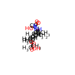 C=C(C)[C@@H]1CC[C@]2(NCC([C@@H](C)O)N3CCS(=O)(=O)CC3)CC[C@]3(C)[C@H](CC[C@@H]4[C@@]5(C)CC[C@H](OC(=O)CC(C)(C)C(=O)O)C(C)(C)[C@@H]5CC[C@]43C)[C@@H]12